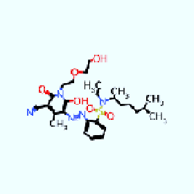 CCN(C(C)CCCC(C)C)S(=O)(=O)c1ccccc1/N=N/c1c(C)c(C#N)c(=O)n(CCOCCO)c1O